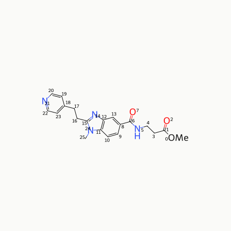 COC(=O)CCNC(=O)c1ccc2c(c1)nc(CCc1ccncc1)n2C